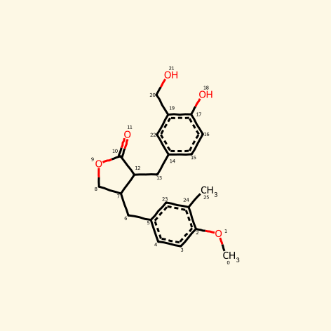 COc1ccc(CC2COC(=O)C2Cc2ccc(O)c(CO)c2)cc1C